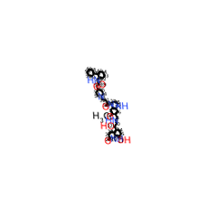 COc1cc2c(cc1CNC[C@H](O)c1ccc(O)c3[nH]c(=O)ccc13)NCCN2C(=O)CCN1CCC(OC(=O)Nc2ccccc2-c2ccccc2)CC1